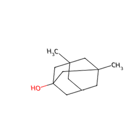 CC12C[C]3CC(C)(C1)CC(O)(C3)C2